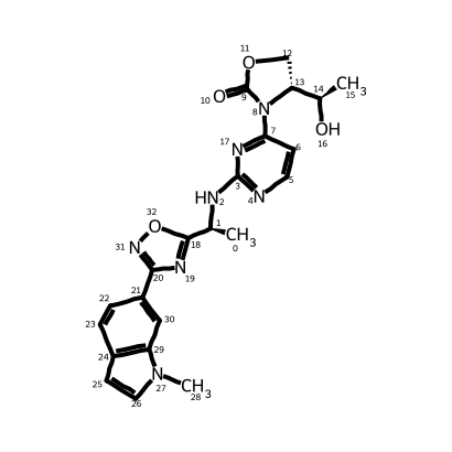 C[C@H](Nc1nccc(N2C(=O)OC[C@@H]2[C@@H](C)O)n1)c1nc(-c2ccc3ccn(C)c3c2)no1